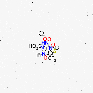 CC(C)N(C(=O)c1cc2c(cc1C(F)(F)F)SC1(CCCC1)C(=O)N2CCNC(=O)OCc1ccccc1)[C@@H]1CCCN(C(=O)O)C1